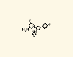 NC1CC(F)CN(C2C[C@H](c3ccc(F)cc3)CC2n2cncn2)C1